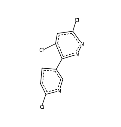 Clc1ccc(-c2nnc(Cl)cc2Cl)cn1